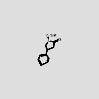 CCCCCN1CC(c2ccccc2)CC1=O